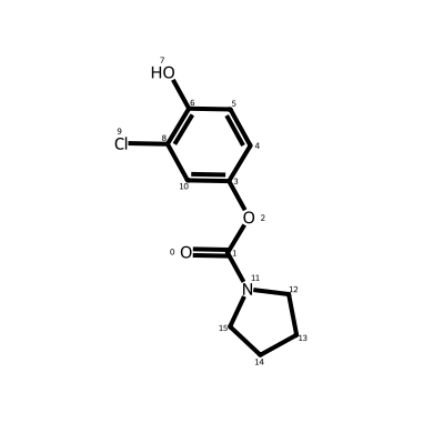 O=C(Oc1ccc(O)c(Cl)c1)N1CCCC1